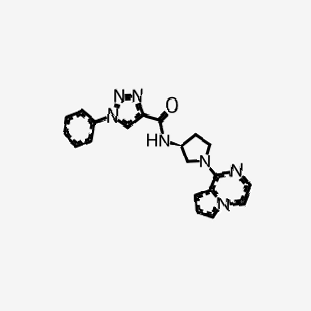 O=C(N[C@H]1CCN(c2nccn3cccc23)C1)c1cn(-c2ccccc2)nn1